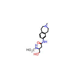 CN1CCc2ccc(NC(=O)CC(CO)NC(=O)O)cc2CC1